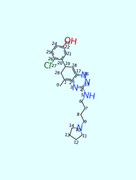 CC1=c2nc(NCCCCN3CCCC3)nnc2=CC(c2cc(O)ccc2Cl)C1